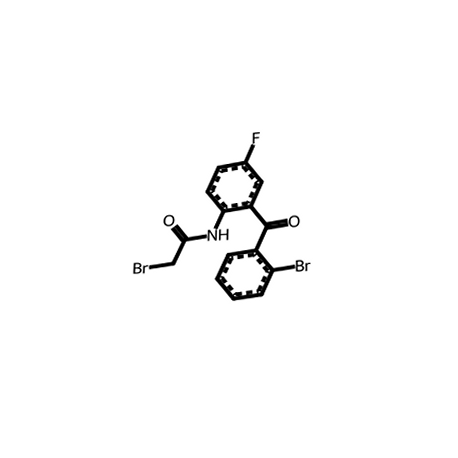 O=C(CBr)Nc1ccc(F)cc1C(=O)c1ccccc1Br